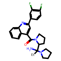 CCC(N)(C1CCCN1C(=O)c1cc(-c2ccc(F)c(F)c2)nc2ccccc12)N1CCCC1